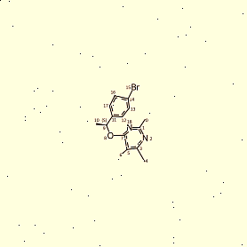 Cc1nc(C)c(C)c(O[C@@H](C)c2ccc(Br)cc2)n1